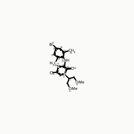 COCC(COC)n1cc(Cl)nc(Nc2c(C)cc(Br)cc2C)c1=O